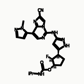 CC(C)NC(=O)O[C@@H]1CC[C@H](c2cc(Nc3ncc(-c4ccnn4C)c4nc(C#N)cn34)n[nH]2)[C@@H]1F